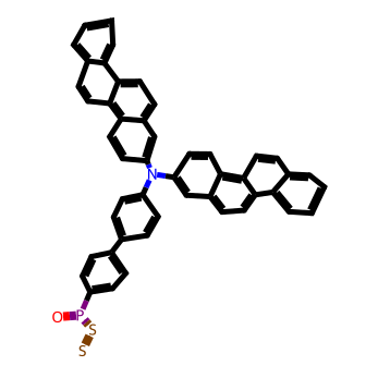 O=P(=S=S)c1ccc(-c2ccc(N(c3ccc4c(ccc5c6ccccc6ccc45)c3)c3ccc4c(ccc5c6ccccc6ccc45)c3)cc2)cc1